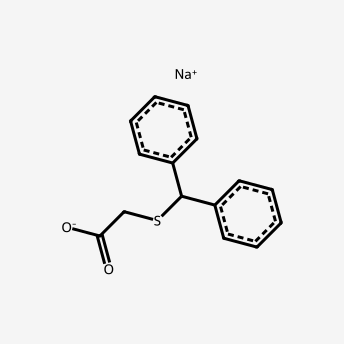 O=C([O-])CSC(c1ccccc1)c1ccccc1.[Na+]